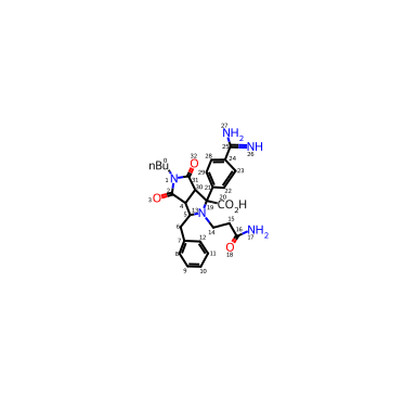 CCCCN1C(=O)C2C(Cc3ccccc3)N(CCC(N)=O)C(C(=O)O)(c3ccc(C(=N)N)cc3)C2C1=O